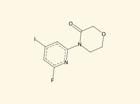 O=C1COCCN1c1cc(I)cc(F)n1